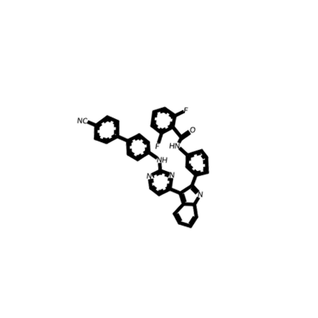 N#Cc1ccc(-c2ccc(Nc3nccc(C4=C5C=CC=CC5N=C4c4cccc(NC(=O)c5c(F)cccc5F)c4)n3)cc2)cc1